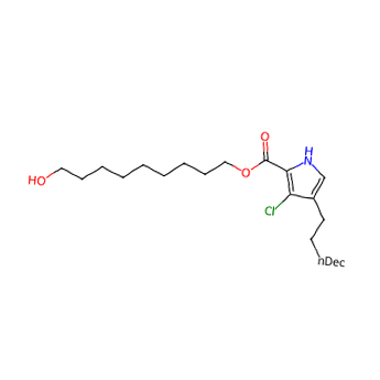 CCCCCCCCCCCCc1c[nH]c(C(=O)OCCCCCCCCCO)c1Cl